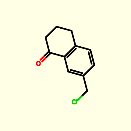 O=C1CCCc2ccc(CCl)cc21